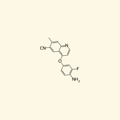 [C-]#[N+]c1cc2c(Oc3ccc(N)c(F)c3)ccnc2cc1C